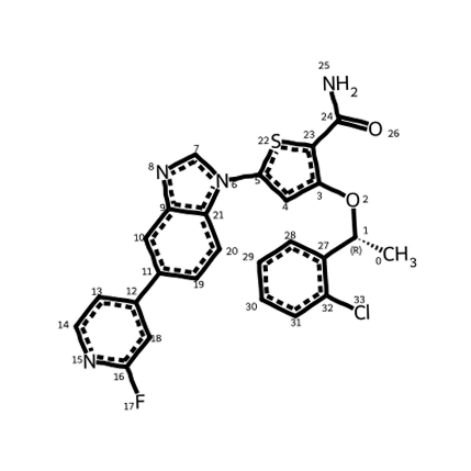 C[C@@H](Oc1cc(-n2cnc3cc(-c4ccnc(F)c4)ccc32)sc1C(N)=O)c1ccccc1Cl